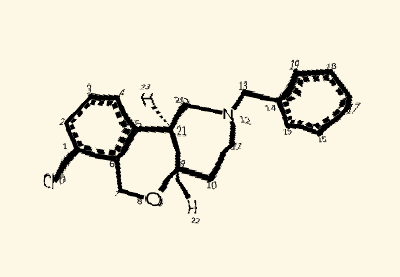 Clc1cccc2c1CO[C@H]1CCN(Cc3ccccc3)C[C@H]21